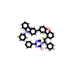 O=c1nc(-c2ccccc2)nc2sc(-c3cccc4oc5ccc(-c6ccc7c(c6)c6ccccc6n7-c6ccccc6)cc5c34)c(-c3ccccc3)n12